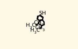 CCC1CCc2cc(S)ccc2C1C(C)(C)C